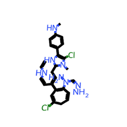 C=CN/C=C\C(=C/CC1NC(c2ccc(NC)cc2)=C(Cl)N1C)C1=C(N(N)/C=N\N)C=CCC(Cl)=C1